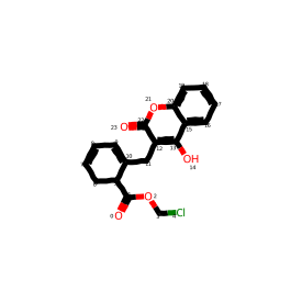 O=C(OCCl)C1CC=CC=C1Cc1c(O)c2ccccc2oc1=O